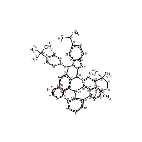 Cc1cc2c3c(c1)N(c1ccc(C(C)(C)C)cc1)c1c(sc4ccc(C(C)C)cc14)B3c1cc3c(cc1N2c1c(-c2ccccc2)cccc1-c1ccccc1)C(C)(C)CCC3(C)C